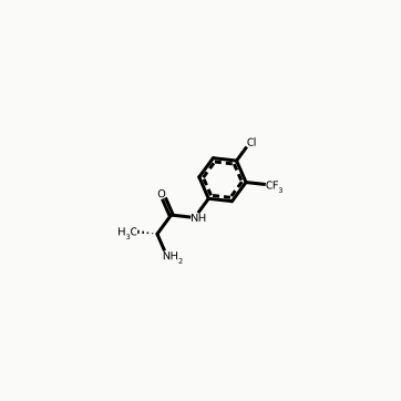 C[C@@H](N)C(=O)Nc1ccc(Cl)c(C(F)(F)F)c1